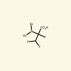 CC(=O)N(C(C)=O)C(F)(C(=O)O)C(F)F